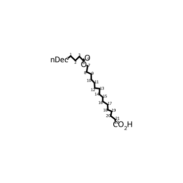 CCCCCCCCCCCCCC(=O)OCCCCCCCCCCCCCCCC(=O)O